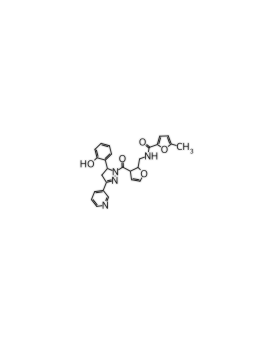 Cc1ccc(C(=O)NCC2OC=CC2C(=O)N2N=C(c3cccnc3)CC2c2ccccc2O)o1